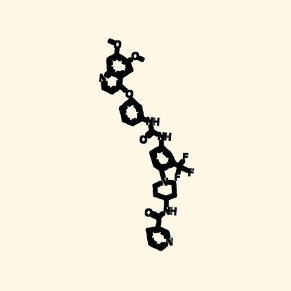 COc1cc2nccc(Oc3cccc(NC(=O)Nc4ccc(N5CCC(NC(=O)c6cccnc6)CC5)c(C(F)(F)F)c4)c3)c2cc1OC